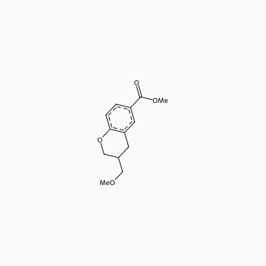 COCC1COc2ccc(C(=O)OC)cc2C1